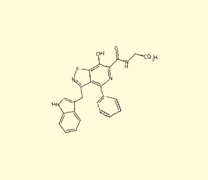 O=C(O)CNC(=O)c1nc(-c2ccccc2)c2c(Cc3c[nH]c4ccccc34)nsc2c1O